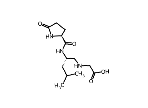 CC(C)C[C@@H](CNCC(=O)O)NC(=O)[C@@H]1CCC(=O)N1